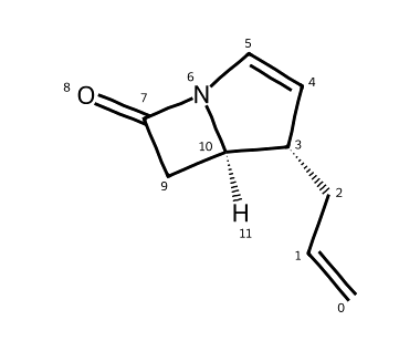 C=CC[C@H]1C=CN2C(=O)C[C@H]12